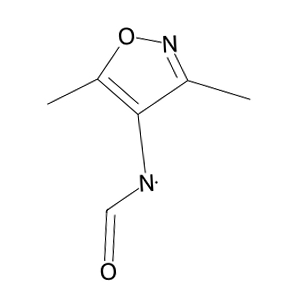 Cc1noc(C)c1[N]C=O